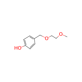 COCCOCc1ccc(O)cc1